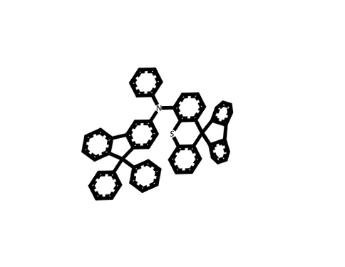 c1ccc(N(c2ccc3c(c2)-c2ccccc2C3(c2ccccc2)c2ccccc2)c2cccc3c2Sc2ccccc2C32c3ccccc3-c3ccccc32)cc1